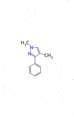 Cc1cn(C)nc1-c1[c]cccc1